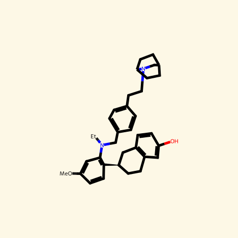 CCN(Cc1ccc(CCN2CC3CCC2CC3)cc1)c1cc(OC)ccc1[C@@H]1CCc2cc(O)ccc2C1